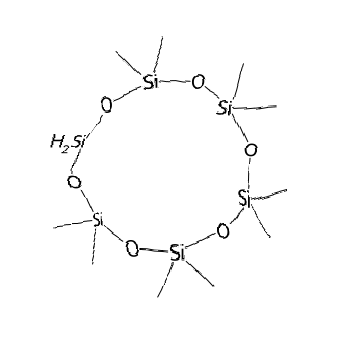 C[Si]1(C)O[SiH2]O[Si](C)(C)O[Si](C)(C)O[Si](C)(C)O[Si](C)(C)O1